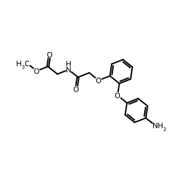 COC(=O)CNC(=O)COc1ccccc1Oc1ccc(N)cc1